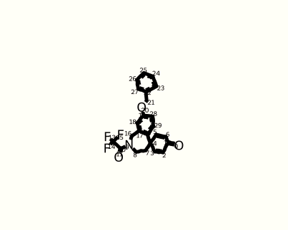 O=C1C=CC2(C=C1)CCN(C(=O)C(F)(F)F)Cc1cc(OCc3ccccc3)ccc12